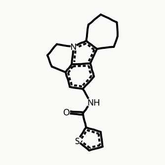 O=C(Nc1cc2c3c(c1)c1c(n3CCC2)CCCCC1)c1cccs1